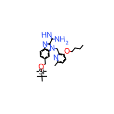 CCCCOc1ccc(C)nc1Cn1c(C(=N)N)nc2ccc(CO[Si](C)(C)C(C)(C)C)cc21